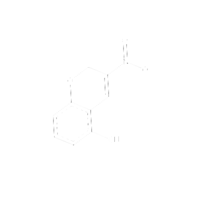 Cc1cccc2c1C=C([N+](=O)[O-])CO2